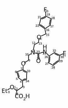 CCOC(Cc1ccc(OCCN(CCOCc2ccc(F)cc2)C(=O)Nc2cccc(F)c2)cc1)C(=O)O